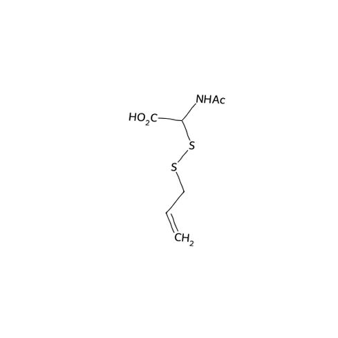 C=CCSSC(NC(C)=O)C(=O)O